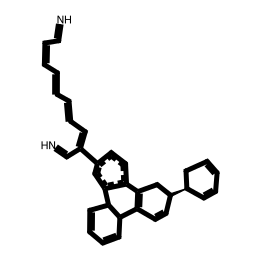 N=C\C=C/C=C/C=C/C=C(\C=N)c1ccc2c(c1)C1C=CC=CC1C1=C2CC([C@@H]2C=CC=CC2)C=C1